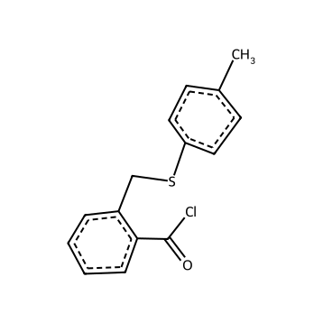 Cc1ccc(SCc2ccccc2C(=O)Cl)cc1